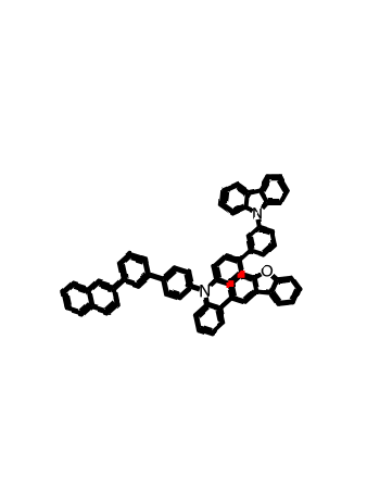 c1cc(-c2ccc(N(c3ccc(-c4cccc(-n5c6ccccc6c6ccccc65)c4)cc3)c3ccccc3-c3ccc4oc5ccccc5c4c3)cc2)cc(-c2ccc3ccccc3c2)c1